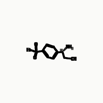 CCS(=O)(=O)c1ccc([C@H](N)CC#N)cc1